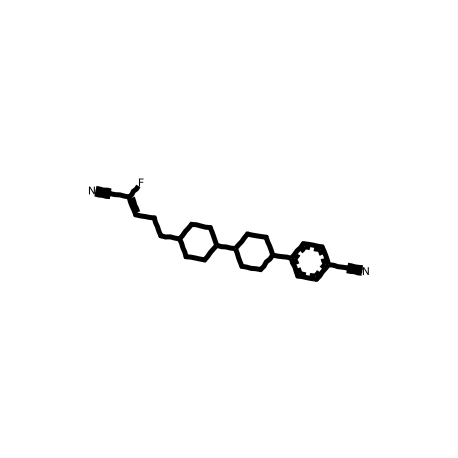 N#CC(F)=CCCC1CCC(C2CCC(c3ccc(C#N)cc3)CC2)CC1